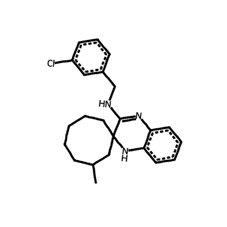 CC1CCCCCC2(C1)Nc1ccccc1N=C2NCc1cccc(Cl)c1